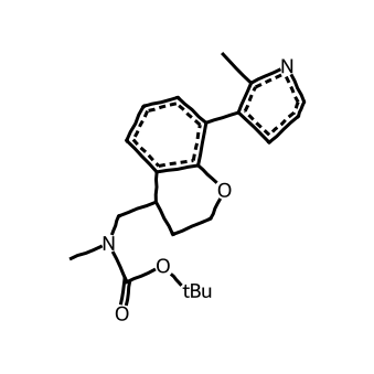 Cc1ncccc1-c1cccc2c1OCCC2CN(C)C(=O)OC(C)(C)C